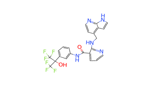 O=C(Nc1cccc(C(O)(C(F)(F)F)C(F)(F)F)c1)c1cccnc1NCc1ccnc2[nH]ccc12